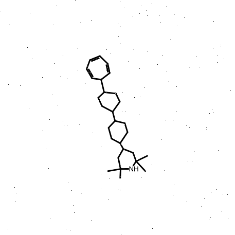 CC1(C)CC(C2CCC(C3CCC(C4C=CC=CC=C4)CC3)CC2)CC(C)(C)N1